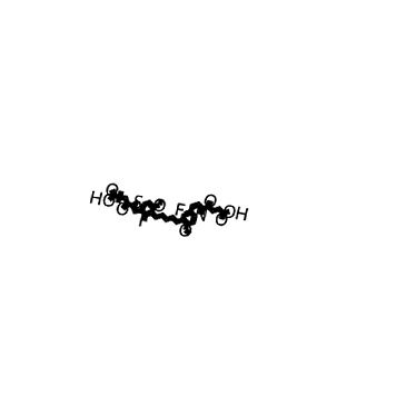 COc1cc2nc(C(=O)CCC(=O)O)ccc2c(F)c1CCCCCc1c(OC)cc2sc(C(=O)CC(C)(C)C(=O)O)cc2c1F